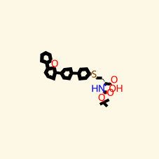 CC(C)(C)OC(=O)N[C@H](CCSc1ccc(-c2ccc(-c3cccc4c3oc3ccccc34)cc2)cc1)C(=O)O